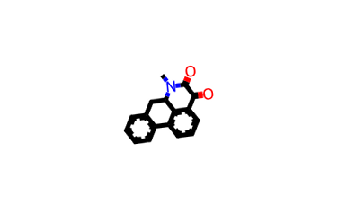 CN1C(=O)C(=O)c2cccc3c2C1Cc1ccccc1-3